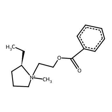 CC[C@@H]1CCC[N+]1(C)CCOC(=O)c1ccccc1